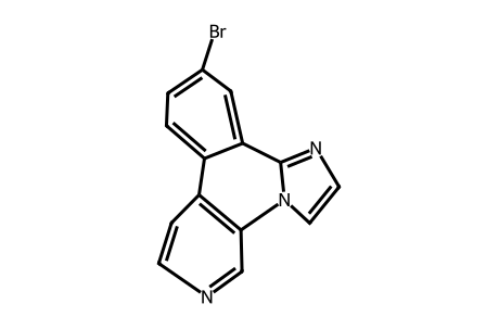 Brc1ccc2c3ccncc3n3ccnc3c2c1